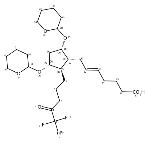 CCCC(F)(F)C(=O)CCC[C@@H]1[C@@H](CC=CCCCC(=O)O)[C@@H](OC2CCCCO2)C[C@H]1OC1CCCCO1